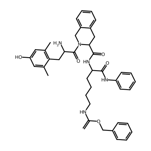 C=C(NCCCCC(NC(=O)C1Cc2ccccc2CN1C(=O)C(N)Cc1c(C)cc(O)cc1C)C(=O)Nc1ccccc1)OCc1ccccc1